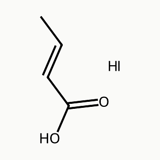 CC=CC(=O)O.I